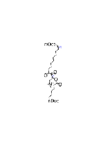 CCCCCCCC/C=C\CCCCCCCC(=O)/[P+]([O-])=C(\C[N+](C)(C)C)OC(=O)CCCCCCCCCCCCCCC